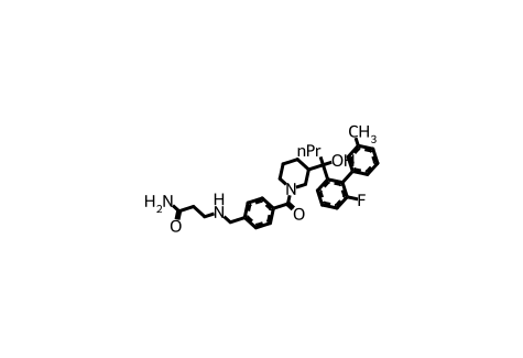 [CH2]CCC(O)(c1cccc(F)c1-c1cccc(C)c1)C1CCCN(C(=O)c2ccc(CNCCC(N)=O)cc2)C1